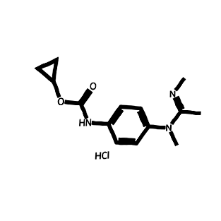 CN=C(C)N(C)c1ccc(NC(=O)OC2CC2)cc1.Cl